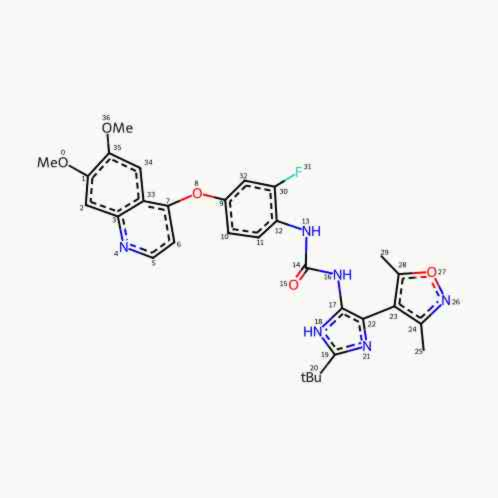 COc1cc2nccc(Oc3ccc(NC(=O)Nc4[nH]c(C(C)(C)C)nc4-c4c(C)noc4C)c(F)c3)c2cc1OC